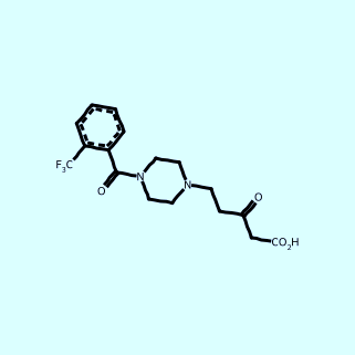 O=C(O)CC(=O)CCN1CCN(C(=O)c2ccccc2C(F)(F)F)CC1